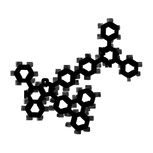 c1ccc(-c2nc(-c3ccccc3)nc(-c3ccc(-c4ccc(-c5oc6c(-c7ccccc7)nc7ccccc7c6c5-c5ccc6c7ccccc7c7ccccc7c6c5)cc4)cc3)n2)cc1